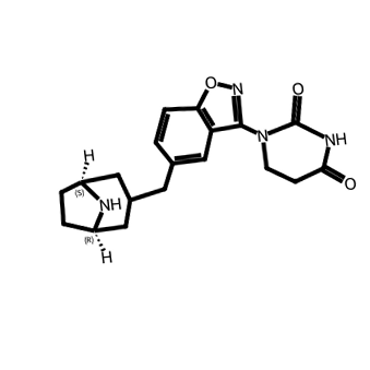 O=C1CCN(c2noc3ccc(CC4C[C@H]5CC[C@@H](C4)N5)cc23)C(=O)N1